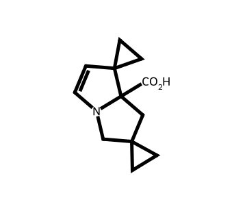 O=C(O)C12CC3(CC3)CN1C=CC21CC1